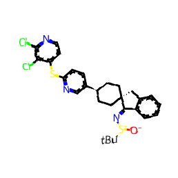 CC(C)(C)[S@@+]([O-])N=C1c2ccccc2C[C@]12CC[C@H](c1ccc(Sc3ccnc(Cl)c3Cl)nc1)CC2